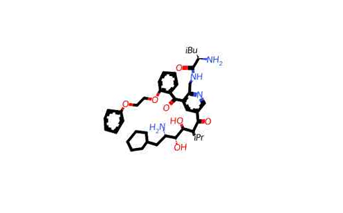 CC[C@@H](C)[C@@H](N)C(=O)NCc1ncc(C(=O)C(C(C)C)C(O)[C@H](O)[C@@H](N)CC2CCCCC2)cc1C(=O)c1ccccc1OCCOc1ccccc1